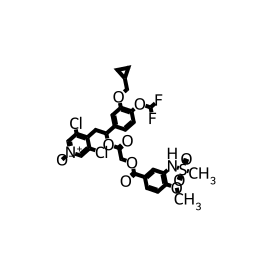 COc1ccc(C(=O)OCC(=O)OC(Cc2c(Cl)c[n+]([O-])cc2Cl)c2ccc(OC(F)F)c(OCC3CC3)c2)cc1NS(C)(=O)=O